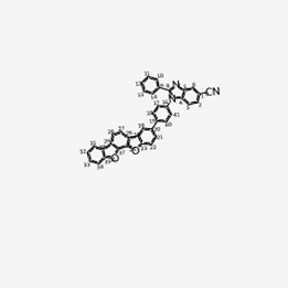 N#Cc1ccc2c(c1)nc(-c1ccccc1)n2-c1ccc(-c2ccc3oc4c(ccc5c6ccccc6oc54)c3c2)cc1